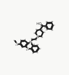 CSc1ccc2c(c1)Sc1ccccc1N2CCN1CCC(C(O)c2ccccc2)CC1